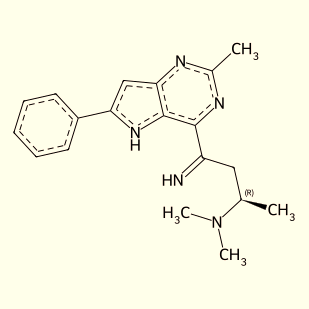 Cc1nc(C(=N)C[C@@H](C)N(C)C)c2[nH]c(-c3ccccc3)cc2n1